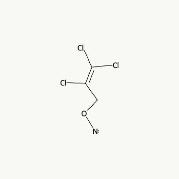 [N]OCC(Cl)=C(Cl)Cl